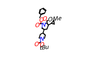 COC(=O)C1C(C2CC2)CC(C2CCN(C(=O)OC(C)(C)C)CC2)CN1C(=O)OCc1ccccc1